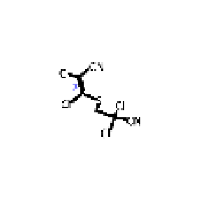 N#C/C(Cl)=C(/Cl)SCC(Cl)(Cl)C#N